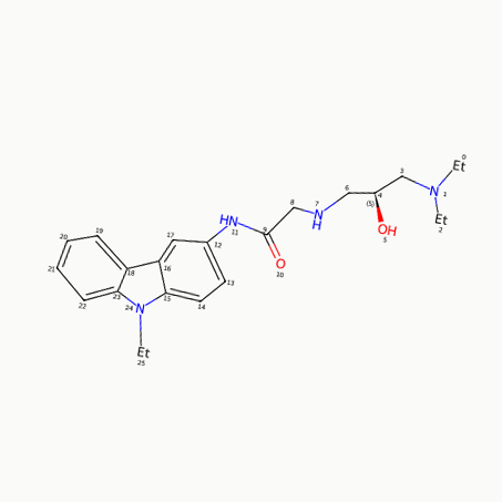 CCN(CC)C[C@@H](O)CNCC(=O)Nc1ccc2c(c1)c1ccccc1n2CC